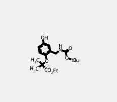 CCOC(=O)C(C)(C)Oc1ccc(O)cc1CNC(=O)OC(C)(C)C